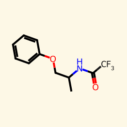 CC(COc1ccccc1)NC(=O)C(F)(F)F